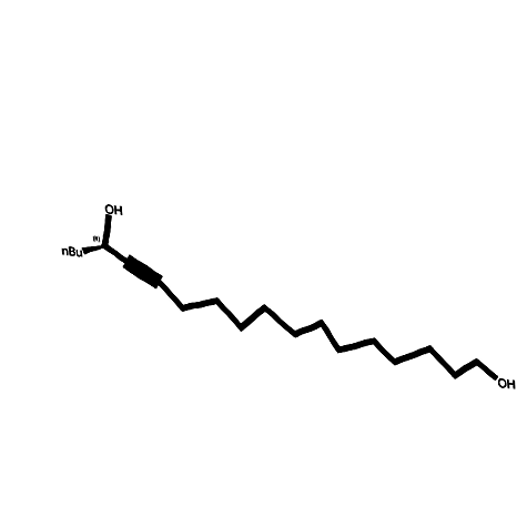 CCCC[C@@H](O)C#CCCCCCCCCCCCCO